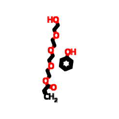 C=CC(=O)OCCOCCOCCOCCO.Oc1ccccc1